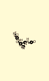 COc1ccc(CNc2ccc(-c3cc(C(=O)Nc4ccc(OC(F)(F)Cl)cc4)cnc3-c3ccnn3C)cn2)cc1